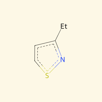 CCc1ccsn1